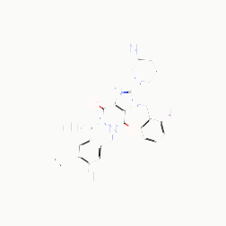 CCCCCCn1c(=O)c2nc(N3CCCC(N)C3)n(Cc3ccccc3I)c2c(=O)n1Cc1ccc(C#N)c(Cl)c1